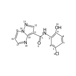 O=C(Nc1cc(Cl)ccc1O)c1cnn2cccnc12